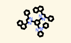 c1ccc(-c2cc(-c3cccc4ccccc34)nc(-c3cc(-c4nc(-c5ccccc5)cc(-c5cccc6ccccc56)n4)cc(-c4nc5ccccc5n4-c4ccccc4)c3)n2)cc1